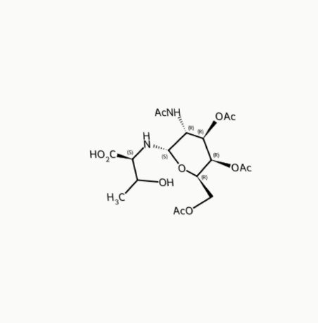 CC(=O)N[C@@H]1[C@@H](OC(C)=O)[C@@H](OC(C)=O)[C@@H](COC(C)=O)O[C@@H]1N[C@H](C(=O)O)C(C)O